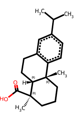 CC(C)c1ccc2c(c1)CC[C@H]1[C@](C)(C(=O)O)CCC[C@@]21C